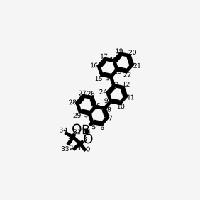 CC1(C)OB(c2ccc(-c3cccc(-c4cccc5ccccc45)c3)c3ccccc23)OC1(C)C